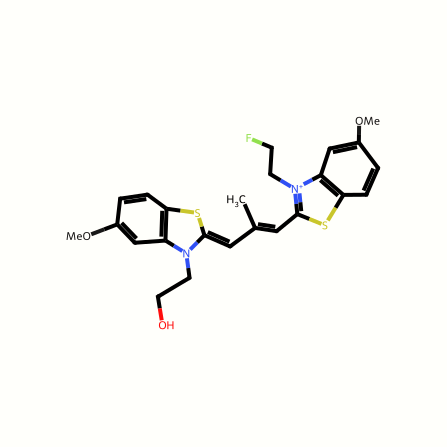 COc1ccc2c(c1)N(CCO)/C(=C/C(C)=C/c1sc3ccc(OC)cc3[n+]1CCF)S2